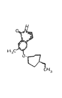 CC[C@H]1CC[C@H](Oc2cc3cc[nH]c(=O)c3cc2C)CC1